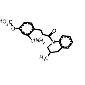 CCOC(=O)Oc1ccc(C[C@@H](N)C(=O)N2CC(C)Cc3ccccc32)c(Cl)c1